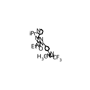 CCn1c(=O)n(Cc2ccc(-c3nc(C(F)(F)F)cn3C)cc2)c2nc(-c3cccnc3C(C)C)ncc21